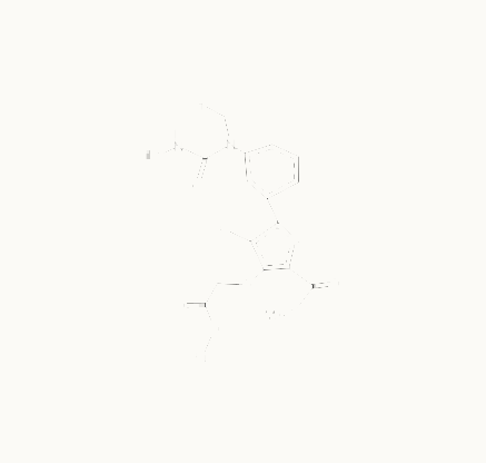 COC(=O)c1sc(-c2cccc(N(CC(C)C)C(=O)NC(C)C)c2)c(Br)c1OCC(=O)OC(C)(C)C